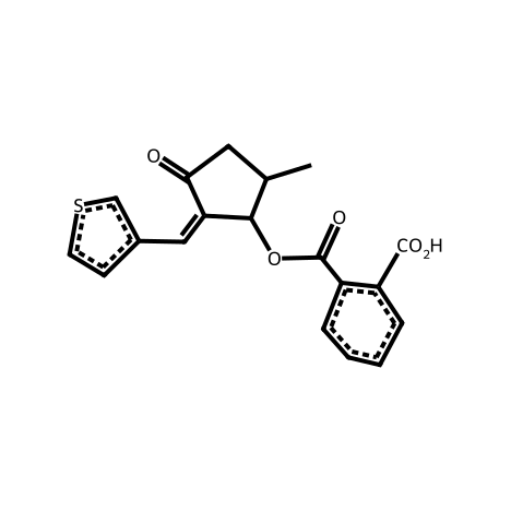 CC1CC(=O)C(=Cc2ccsc2)C1OC(=O)c1ccccc1C(=O)O